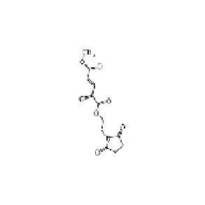 COC(=O)/C=C/C(=O)C(=O)OCCN1C(=O)CCC1=O